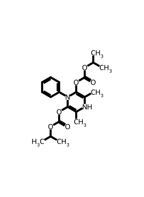 CC1=C(OC(=O)OC(C)C)N(c2ccccc2)C(OC(=O)OC(C)C)=C(C)N1